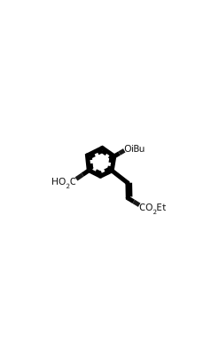 CCOC(=O)C=Cc1cc(C(=O)O)ccc1OCC(C)C